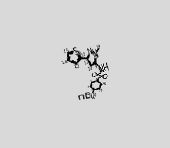 CCCCc1ccc(S(=O)(=O)Nc2cc(-c3cccs3)nn2C)cc1